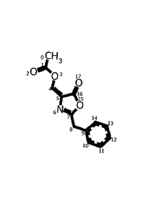 CC(=O)OC=C1N=C(Cc2ccccc2)OC1=O